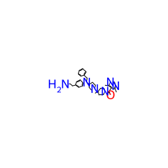 Cc1ncnc(C)c1C(=O)N1CCC(C)(N2CCC(N(Cc3ccccc3)c3ccc(CCN)cc3)CC2)CC1